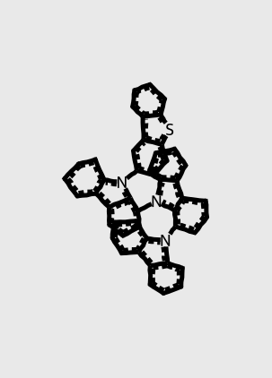 c1ccc2c(c1)sc1ccc(-n3c4ccccc4c4cccc(-n5c6ccccc6c6cccc(-n7c8ccccc8c8ccccc87)c65)c43)cc12